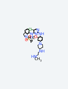 CNCCNC1CCN(c2ccc(Nc3ncc(Cl)c(Nc4cccc5c4N(S(=O)(=O)C4CC4)CC5)n3)c(OC)c2)CC1